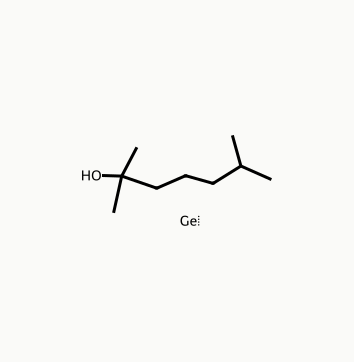 CC(C)CCCC(C)(C)O.[Ge]